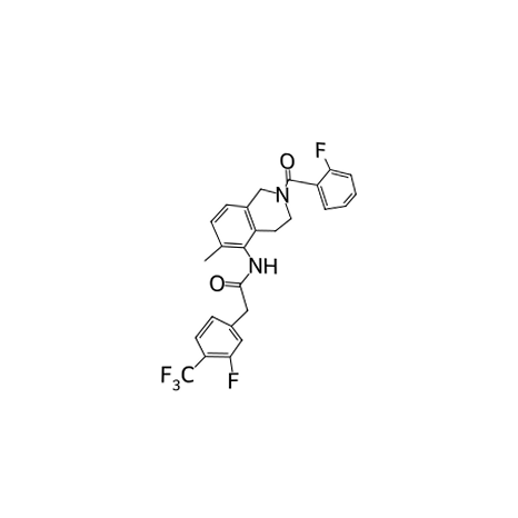 Cc1ccc2c(c1NC(=O)Cc1ccc(C(F)(F)F)c(F)c1)CCN(C(=O)c1ccccc1F)C2